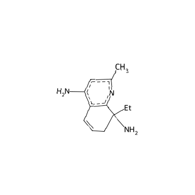 CCC1(N)CC=Cc2c(N)cc(C)nc21